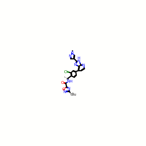 C[C@@H](NC(=O)c1nc(C(C)(C)C)no1)c1ccc(-c2ccnc3[nH]c(-c4cnn(C)c4)nc23)cc1Cl